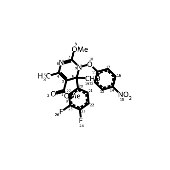 COC(=O)C1=C(C)N=C(OC)N(Oc2ccc([N+](=O)[O-])cc2)C1(C=O)c1ccc(F)c(F)c1